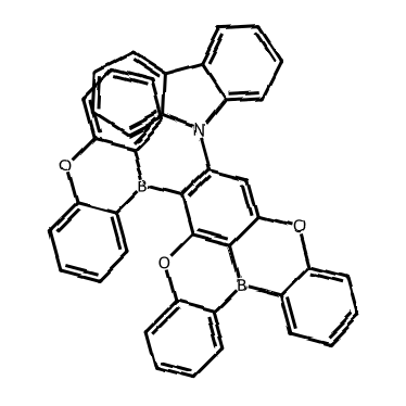 c1ccc2c(c1)Oc1cc(-n3c4ccccc4c4ccccc43)c(B3c4ccccc4Oc4ccccc43)c3c1B2c1ccccc1O3